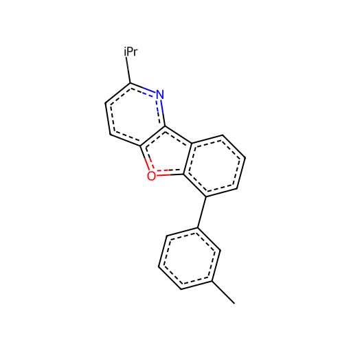 Cc1cccc(-c2cccc3c2oc2ccc(C(C)C)nc23)c1